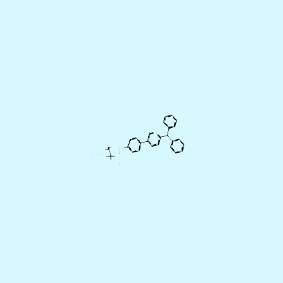 CC1(C)OB(c2ccc(-c3ccc(C(c4ccccc4)c4ccccc4)nc3)cc2)OC1(C)C